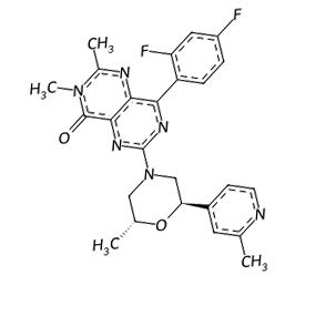 Cc1cc([C@@H]2CN(c3nc(-c4ccc(F)cc4F)c4nc(C)n(C)c(=O)c4n3)C[C@@H](C)O2)ccn1